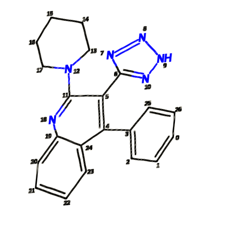 c1ccc(-c2c(-c3nn[nH]n3)c(N3CCCCC3)nc3ccccc23)cc1